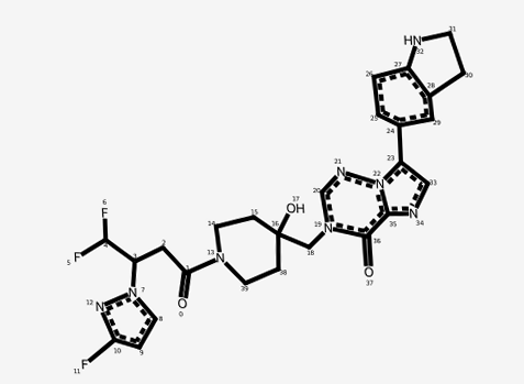 O=C(CC(C(F)F)n1ccc(F)n1)N1CCC(O)(Cn2cnn3c(-c4ccc5c(c4)CCN5)cnc3c2=O)CC1